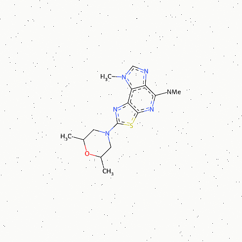 CNc1nc2sc(N3CC(C)OC(C)C3)nc2c2c1ncn2C